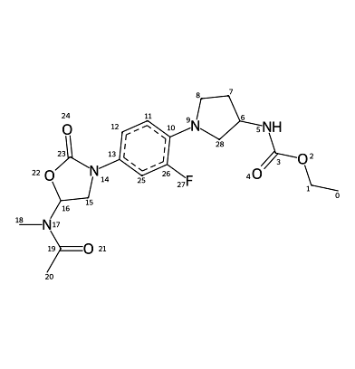 CCOC(=O)NC1CCN(c2ccc(N3CC(N(C)C(C)=O)OC3=O)cc2F)C1